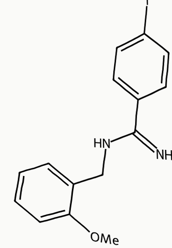 COc1ccccc1CNC(=N)c1ccc(I)cc1